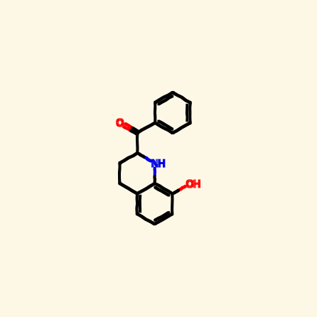 O=C(c1ccccc1)C1CCc2cccc(O)c2N1